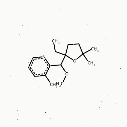 CCC1(C(OC)c2ncccc2C)CCC(C)(C)O1